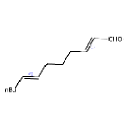 CCCC/C=C/CCC/C=C/[C]=O